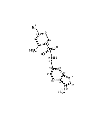 Cc1cc(Br)ccc1S(=O)(=O)NCc1ccc2c(ccn2C)c1